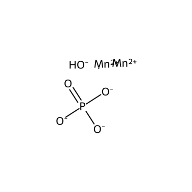 O=P([O-])([O-])[O-].[Mn+2].[Mn+2].[OH-]